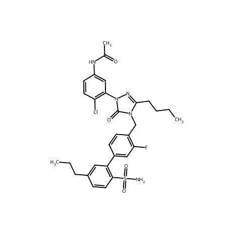 CCCCc1nn(-c2cc(NC(C)=O)ccc2Cl)c(=O)n1Cc1ccc(-c2cc(CCC)ccc2S(N)(=O)=O)cc1F